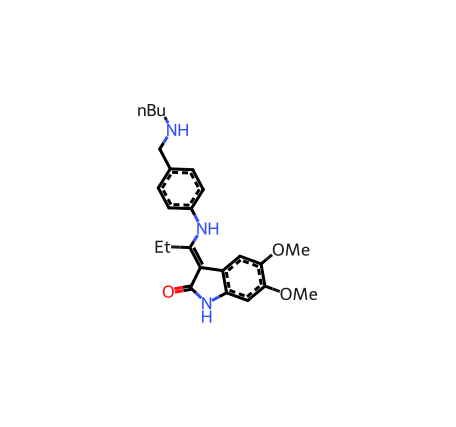 CCCCNCc1ccc(NC(CC)=C2C(=O)Nc3cc(OC)c(OC)cc32)cc1